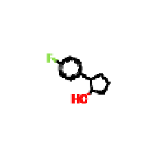 OC1CCCC1c1ccc(F)cc1